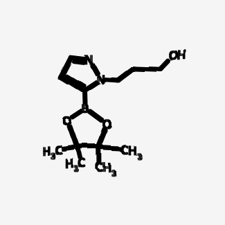 CC1(C)OB(c2ccnn2CCCO)OC1(C)C